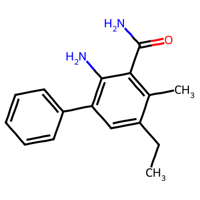 CCc1cc(-c2ccccc2)c(N)c(C(N)=O)c1C